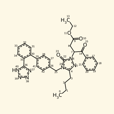 CCCCc1nn(C(CC(=O)OCC)C(=O)c2ccccc2)c(=O)n1Cc1ccc(-c2ccccc2-c2nnn[nH]2)cc1